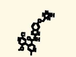 COc1cnc(Cl)cc1-c1cc(C)ncc1C(=O)Nc1nc2cc(OCc3nn[nH]n3)ccc2s1